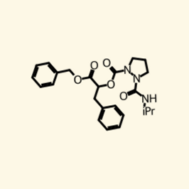 CC(C)NC(=O)N1CCCN1C(=O)OC(Cc1ccccc1)C(=O)OCc1ccccc1